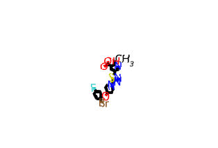 CCc1ncc(-c2nnc(N3CCC(Oc4cc(F)ccc4Br)CC3)s2)cc1C(=O)O